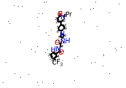 CC(C)n1cc(C2CCC(N3CC(NC(=O)CNC(=O)c4cccc(C(F)(F)F)c4)C3)CC2)ccc1=O